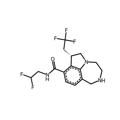 O=C(NCC(F)F)c1ccc2c3c1[C@H](CC(F)(F)F)CN3CCNC2